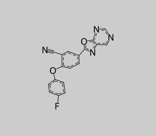 N#Cc1cc(-c2nc3cncnc3o2)ccc1Oc1ccc(F)cc1